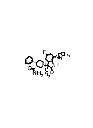 CCNC1=C2NC(=O)[C@@](C)(N3CC[C@@H](c4ccccc4)[C@@H](C(N)=O)C3)C2CC(F)=C1